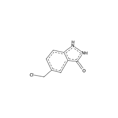 O=c1[nH][nH]c2ccc(CCl)cc12